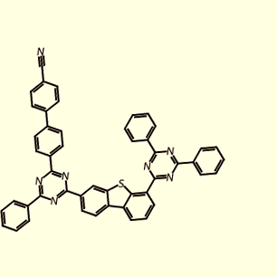 N#Cc1ccc(-c2ccc(-c3nc(-c4ccccc4)nc(-c4ccc5c(c4)sc4c(-c6nc(-c7ccccc7)nc(-c7ccccc7)n6)cccc45)n3)cc2)cc1